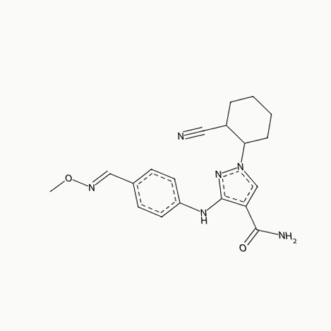 CO/N=C/c1ccc(Nc2nn(C3CCCCC3C#N)cc2C(N)=O)cc1